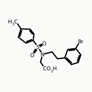 Cc1ccc(S(=O)(=O)N(CCc2cccc(Br)c2)CC(=O)O)cc1